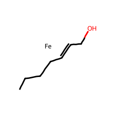 CCCCC=CCO.[Fe]